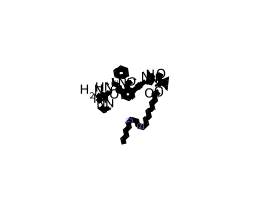 CCCCC/C=C\C/C=C\CCCCCCCC(=O)OCC1(C(=O)n2cc(C#Cc3cccc4cc([C@H](C)NC(=O)c5c(N)nn6cccnc56)n(-c5ccccc5)c(=O)c34)nn2)CC1